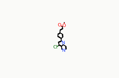 COC(=O)C=Cc1ccc(-c2cc(Cl)c3cnccc3n2)cc1